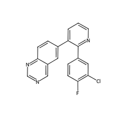 Fc1ccc(-c2ncccc2-c2ccc3ncncc3c2)cc1Cl